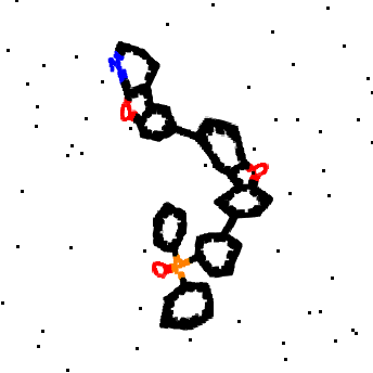 O=P(c1ccccc1)(c1ccccc1)c1cccc(-c2ccc3oc4ccc(-c5ccc6oc7ncccc7c6c5)cc4c3c2)c1